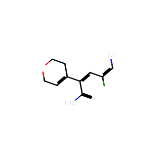 C=C(N)/C(=C\C(Cl)=C/N)C1=CCOCC1